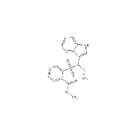 CCN(c1c[nH]c2ccccc12)S(=O)(=O)c1ccccc1C(=O)OC